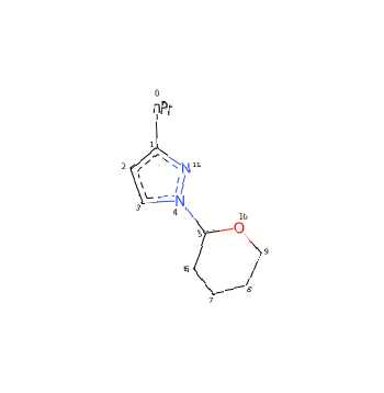 CCCc1ccn(C2CCCCO2)n1